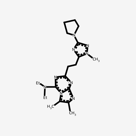 CCN(CC)c1nc(CCc2nc(N3CCCC3)nn2C)nc2nc(C)c(C)n12